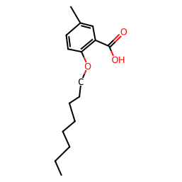 CCCCCCCCOc1ccc(C)cc1C(=O)O